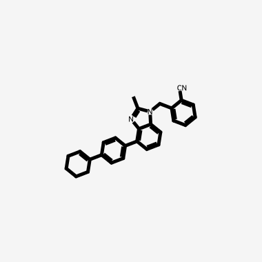 Cc1nc2c(-c3ccc(C4=CCCCC4)cc3)cccc2n1Cc1ccccc1C#N